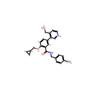 Cc1ccc(CNC(=O)c2cc(-c3cnccc3CO)ccc2OCC2CC2)cc1